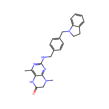 Cc1nc(NCc2ccc(CN3CCc4ccccc43)cc2)nc2c1NC(=O)CN2C